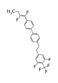 CC/C(F)=C(\F)c1ccc(-c2ccc(CCc3cc(F)c(C(F)(F)F)c(F)c3)cc2)cc1